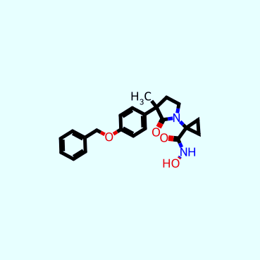 CC1(c2ccc(OCc3ccccc3)cc2)CCN(C2(C(=O)NO)CC2)C1=O